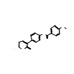 CCCCCCCCOc1ccc(C(=O)Oc2ccc(C3=CC[C@@H](CCCCCC)OC3=O)cc2)cc1